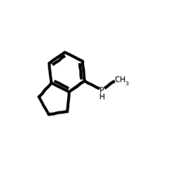 CPc1cccc2c1CCC2